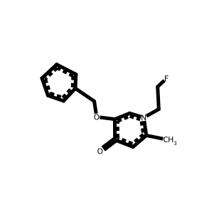 Cc1cc(=O)c(OCc2ccccc2)cn1CCF